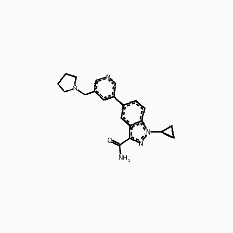 NC(=O)c1nn(C2CC2)c2ccc(-c3cncc(CN4CCCC4)c3)cc12